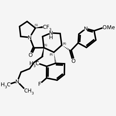 COc1ccc(C(=O)[C@H]2CNC[C@@](CCCCN(C)C)(C(=O)N3CCC[C@H]3C(F)(F)F)[C@H]2c2cccc(F)c2C)cn1